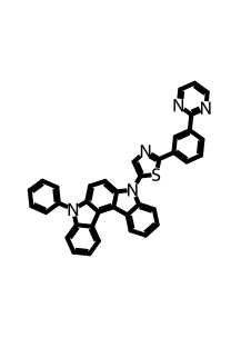 c1ccc(-n2c3ccccc3c3c4c5ccccc5n(-c5cnc(-c6cccc(-c7ncccn7)c6)s5)c4ccc32)cc1